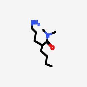 CCCCC(CCCN)C(=O)N(C)C